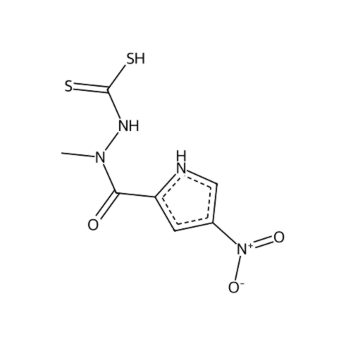 CN(NC(=S)S)C(=O)c1cc([N+](=O)[O-])c[nH]1